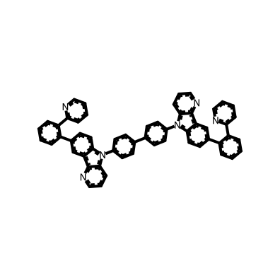 c1ccc(-c2ccccc2-c2ccc3c(c2)c2ncccc2n3-c2ccc(-c3ccc(-n4c5ccc(-c6ccccc6-c6ccccn6)cc5c5ncccc54)cc3)cc2)nc1